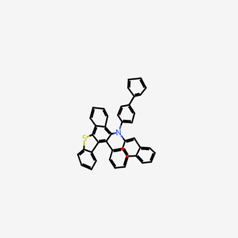 c1ccc(-c2ccc(N(c3ccc4ccccc4c3)c3c(-c4ccccc4)c4c5ccccc5sc4c4ccccc34)cc2)cc1